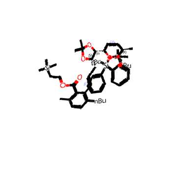 CCCCc1ccc(C)c(C(=O)OCC[Si](C)(C)C)c1/C=C/C[C@@H]1OC(C)(C)O[C@@H]1C(/C=C\[C@@H](C)[C@H](C)O[Si](c1ccccc1)(c1ccccc1)C(C)(C)C)O[Si](C)(C)C(C)(C)C